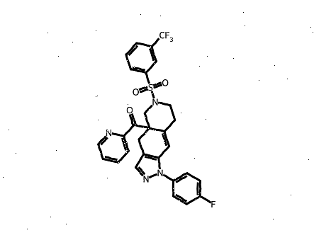 O=C(c1ccccn1)C12Cc3cnn(-c4ccc(F)cc4)c3C=C1CCN(S(=O)(=O)c1cccc(C(F)(F)F)c1)C2